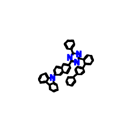 c1ccc(-c2ccc(-c3ccccc3-c3nc(-c4ccccc4)nc(-c4ccc5cc(-n6c7ccccc7c7ccccc76)ccc5c4)n3)cc2)cc1